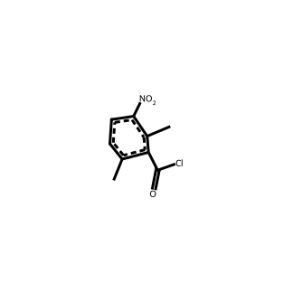 Cc1ccc([N+](=O)[O-])c(C)c1C(=O)Cl